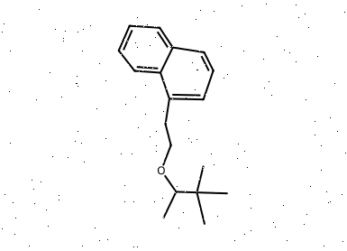 CC(OCCc1cccc2ccccc12)C(C)(C)C